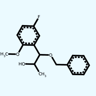 COc1ccc(F)cc1C(OCc1ccccc1)C(C)O